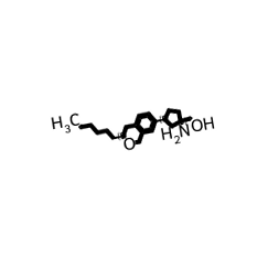 CCCCCC[C@H]1Cc2ccc([C@H]3CC[C@](N)(CO)C3)cc2CO1